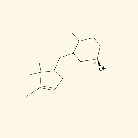 CC1=CCC(CC2C[C@H](O)CCC2C)C1(C)C